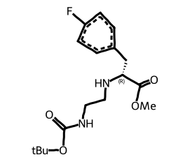 COC(=O)[C@@H](Cc1ccc(F)cc1)NCCNC(=O)OC(C)(C)C